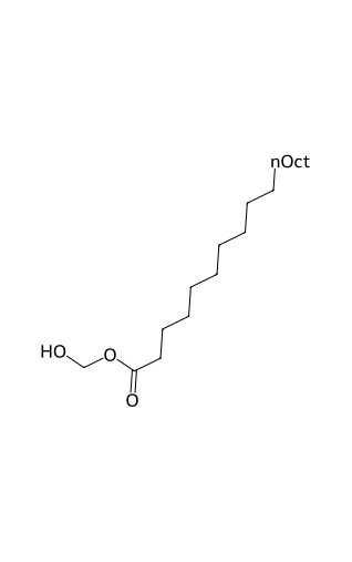 CCCCCCCCCCCCCCCCCC(=O)OCO